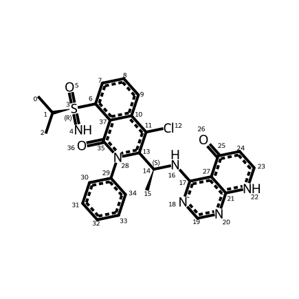 CC(C)[S@@](=N)(=O)c1cccc2c(Cl)c([C@H](C)Nc3ncnc4[nH]ccc(=O)c34)n(-c3ccccc3)c(=O)c12